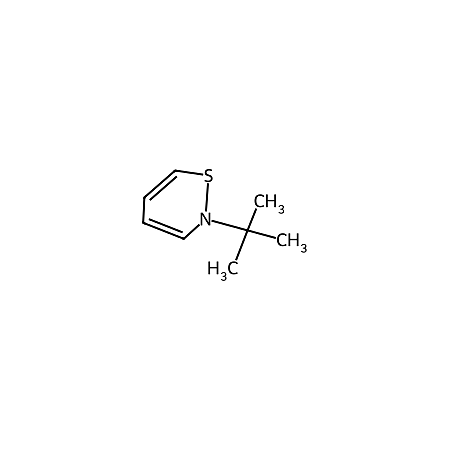 CC(C)(C)N1C=CC=CS1